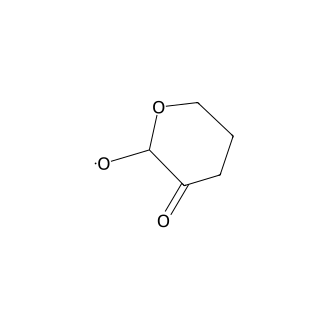 [O]C1OCCCC1=O